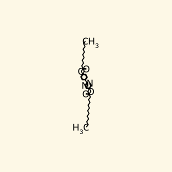 CCCCCCCCCCCCC(=O)Oc1cnc(-c2ccc(OC(=O)CCCCCCCCCC)cc2)nc1